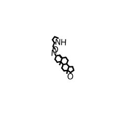 CC12CCC3C(CCC4=C/C(=N\OCC5CCCN5)CCC43C)C1CCC2=O